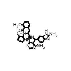 Cc1ccccc1-n1c(CNc2ncnc(N)c2C(=N)c2ccc3nc(N)[nH]c3c2)cc2cccc(C)c2c1=O